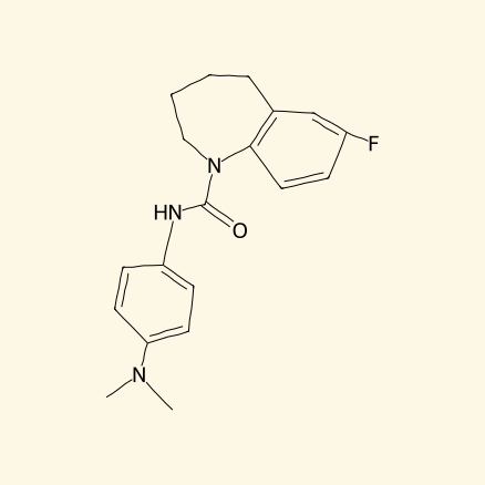 CN(C)c1ccc(NC(=O)N2CCCCc3cc(F)ccc32)cc1